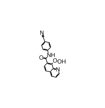 N#Cc1ccc(NC(=O)c2ccc3cccnc3c2OO)cc1